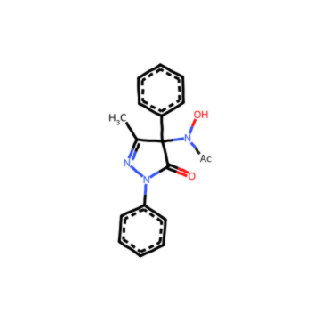 CC(=O)N(O)C1(c2ccccc2)C(=O)N(c2ccccc2)N=C1C